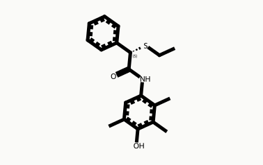 CCS[C@H](C(=O)Nc1cc(C)c(O)c(C)c1C)c1ccccc1